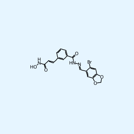 O=C(/C=C/c1cccc(C(=O)N/N=C/c2cc3c(cc2Br)OCO3)c1)NO